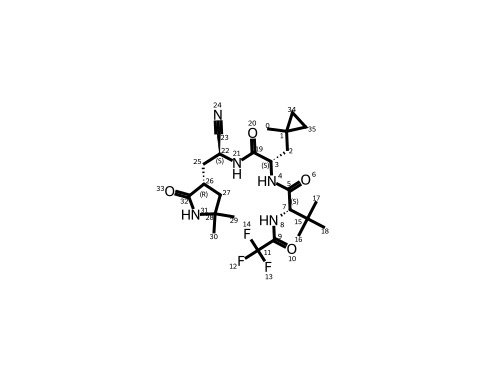 CC1(C[C@H](NC(=O)[C@@H](NC(=O)C(F)(F)F)C(C)(C)C)C(=O)N[C@H](C#N)C[C@@H]2CC(C)(C)NC2=O)CC1